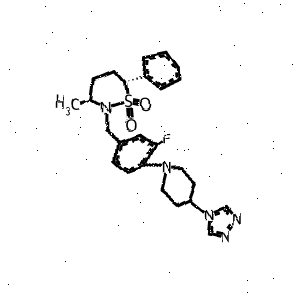 C[C@H]1CC[C@H](c2ccccc2)S(=O)(=O)N1Cc1ccc(N2CCC(n3cnnc3)CC2)c(F)c1